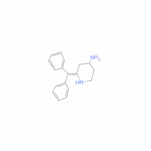 NC1CCNC(=C(c2ccccc2)c2ccccc2)C1